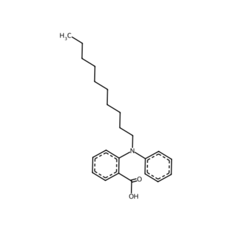 CCCCCCCCCCN(c1ccccc1)c1ccccc1C(=O)O